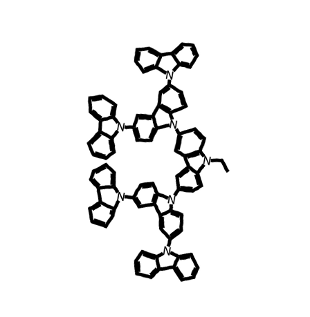 CCn1c2ccc(-n3c4ccc(-n5c6ccccc6c6ccccc65)cc4c4cc(-n5c6ccccc6c6ccccc65)ccc43)cc2c2cc(-n3c4ccc(-n5c6ccccc6c6ccccc65)cc4c4cc(-n5c6ccccc6c6ccccc65)ccc43)ccc21